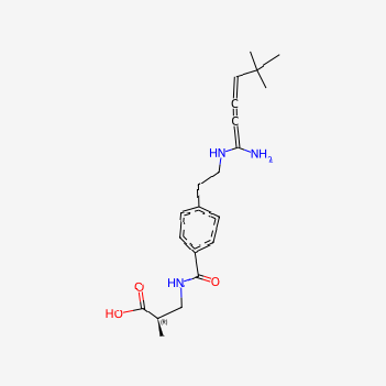 C[C@H](CNC(=O)c1ccc(CCNC(N)=C=C=CC(C)(C)C)cc1)C(=O)O